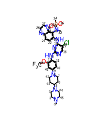 CN1CCN(C2CCN(c3ccc(Nc4ncc(Cl)c(Nc5ccc6nccnc6c5N(C)S(C)(=O)=O)n4)c(OC(F)(F)F)c3)CC2)CC1